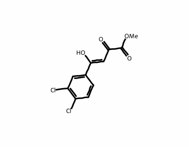 COC(=O)C(=O)C=C(O)c1ccc(Cl)c(Cl)c1